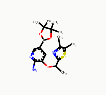 Cc1nc(C(C)Oc2cc(B3OC(C)(C)C(C)(C)O3)cnc2N)sc1C